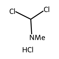 CNC(Cl)Cl.Cl